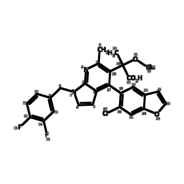 Cc1nc2c(ccn2Cc2ccc(F)c(F)c2)c(-c2cc3ccoc3cc2Cl)c1C(C)(OC(C)(C)C)C(=O)O